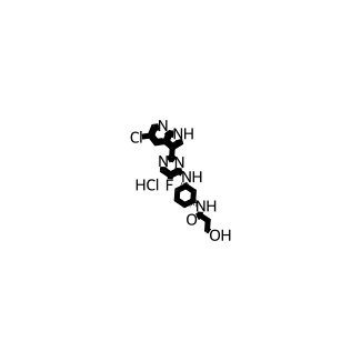 Cl.O=C(CCO)N[C@@H]1CCC[C@H](Nc2nc(-c3c[nH]c4ncc(Cl)cc34)ncc2F)C1